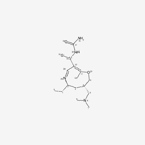 CCC1C[C@@H](CN(C)C)CO/C(C)=C([S+]([O-])NC(N)=O)/C=N\1